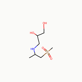 CC(CS(C)(=O)=O)NCC(O)CO